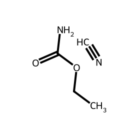 C#N.CCOC(N)=O